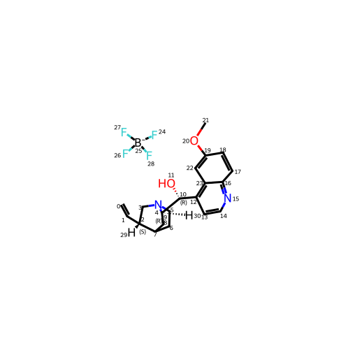 C=C[C@@H]1CN2CCC1C[C@@H]2[C@H](O)c1ccnc2ccc(OC)cc12.F[B-](F)(F)F